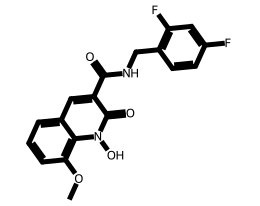 COc1cccc2cc(C(=O)NCc3ccc(F)cc3F)c(=O)n(O)c12